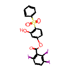 O=C(Oc1ccc(S(=O)(=O)c2ccccc2)c(O)c1)c1c(I)ccc(I)c1I